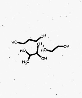 CC(O)C(C)O.OCCCO.OCCO